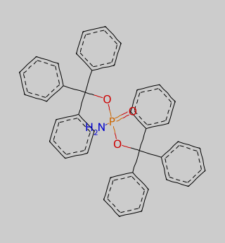 NP(=O)(OC(c1ccccc1)(c1ccccc1)c1ccccc1)OC(c1ccccc1)(c1ccccc1)c1ccccc1